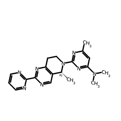 Cc1cc(N(C)C)nc(N2CCc3nc(-c4ncccn4)ncc3[C@H]2C)n1